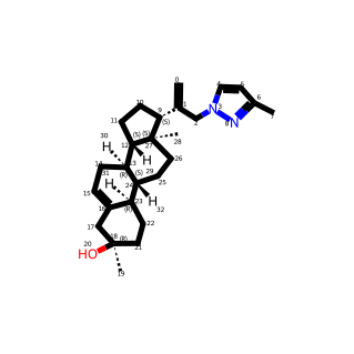 C=C(Cn1ccc(C)n1)[C@H]1CC[C@H]2[C@@H]3CC=C4C[C@](C)(O)CC[C@@H]4[C@H]3CC[C@]12C